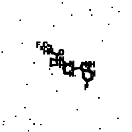 O=C(NCC(F)(F)F)C1(Nc2ccnc(-c3c[nH]c4ncc(F)cc34)n2)CCC1